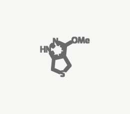 COc1n[nH]c2c1CSC2